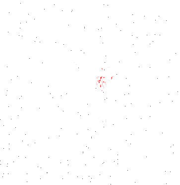 CCCCCCCCCCCCCCCCOC(=O)C(OC(=O)CCCC(=O)O)C(OC(=O)CCCC(=O)O)C(=O)OCCCCCCCCCCCCCCCC